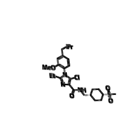 CCc1nc(C(=O)NC[C@H]2CC[C@@H](S(C)(=O)=O)CC2)c(Cl)n1-c1ccc(CC(C)C)cc1OC